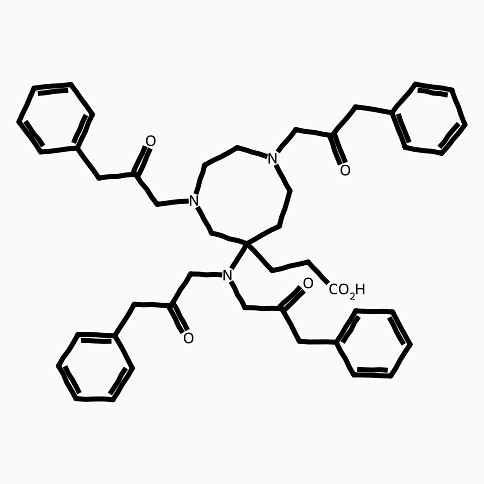 O=C(O)CCC1(N(CC(=O)Cc2ccccc2)CC(=O)Cc2ccccc2)CCN(CC(=O)Cc2ccccc2)CCN(CC(=O)Cc2ccccc2)C1